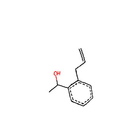 C=CCc1ccccc1C(C)O